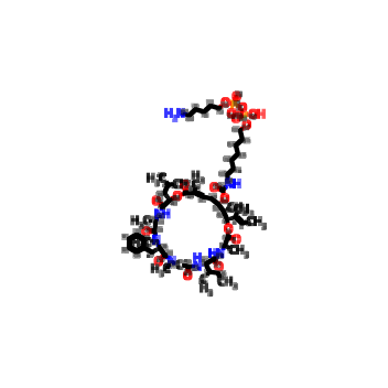 C/C=C(\C)[C@H]1OC(=O)[C@@H](C)NC(=O)[C@H]([C@H](C)CC)NC(=O)CN(C)C(=O)[C@@H](Cc2ccccc2)N(C)C(=O)[C@H](C)NC(=O)[C@@H](CC(C)C)OC(=O)/C(C)=C/C[C@H](OC(=O)NCCCCCCCOP(=O)(O)OP(=O)(O)OCCCCCN)[C@@H]1C